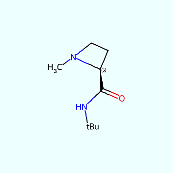 CN1CC[C@H]1C(=O)NC(C)(C)C